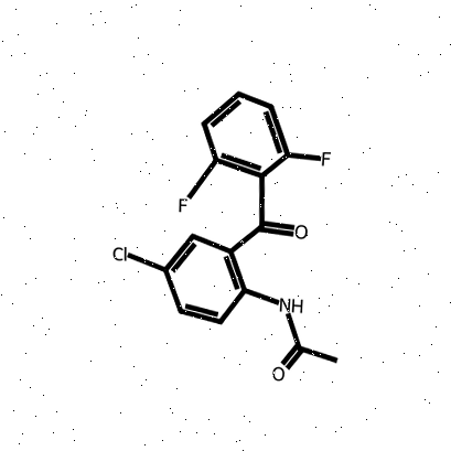 CC(=O)Nc1ccc(Cl)cc1C(=O)c1c(F)cccc1F